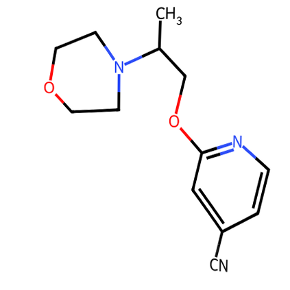 CC(COc1cc(C#N)ccn1)N1CCOCC1